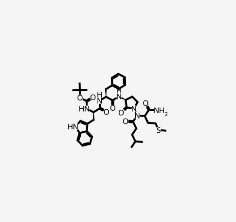 CSCCC(C(N)=O)N(C(=O)CCC(C)C)N1CC[C@H](NC(=O)[C@H](Cc2ccccc2)NC(=O)[C@@H](Cc2c[nH]c3ccccc23)NC(=O)OC(C)(C)C)C1=O